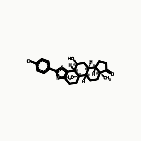 C[C@]12CCc3nc(-c4ccc(Cl)cc4)sc3[C@@H]1[C@@H](O)C[C@@H]1[C@@H]2CC[C@]2(C)C(=O)CC[C@@H]12